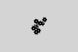 c1ccc(-n2ccc3cc4c(cc32)c2ccccc2n4-c2nc(-c3cccc4ccccc34)c3ccccc3n2)cc1